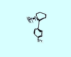 CC(C)c1ccc(C2CCCCN2C(C)C)cc1